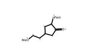 CCCCCC1CC(CCOC)CC1=O